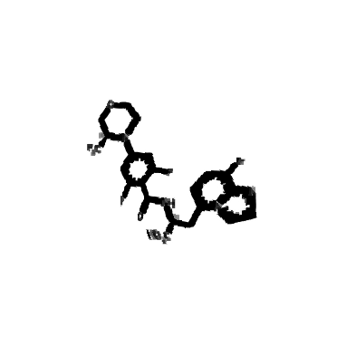 O=C(N[C@@H](Cc1ccc(Br)c2nccn12)C(=O)O)c1c(F)cc(N2CCOC[C@@H]2C(F)(F)F)cc1F